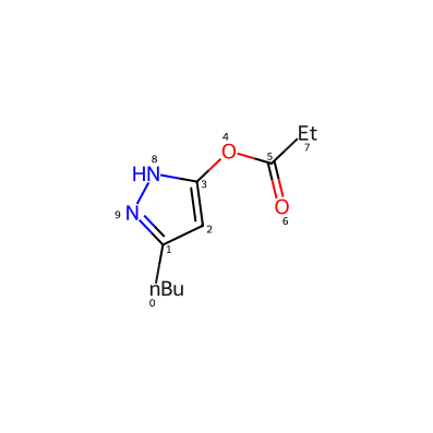 CCCCc1cc(OC(=O)CC)[nH]n1